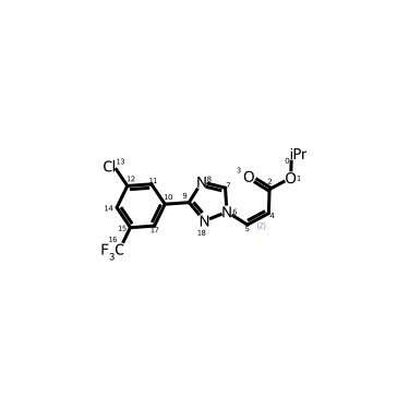 CC(C)OC(=O)/C=C\n1cnc(-c2cc(Cl)cc(C(F)(F)F)c2)n1